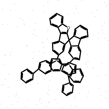 c1ccc(-c2ccc(N(c3cccc(-c4ccccc4)c3)c3ccc4c(c3)C3(c5ccccc5-c5ccc(N(c6ccccc6)c6ccccc6)cc53)c3oc5ccccc5c3-4)cc2)cc1